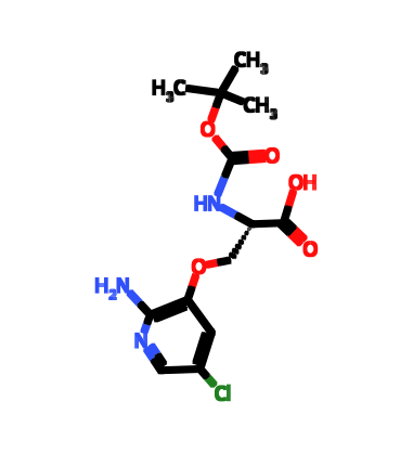 CC(C)(C)OC(=O)N[C@@H](COc1cc(Cl)cnc1N)C(=O)O